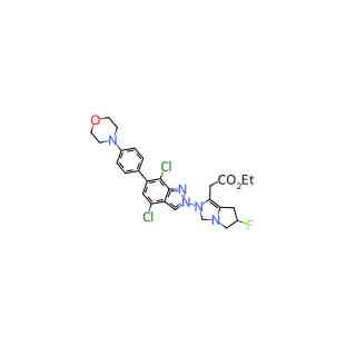 CCOC(=O)CC1=C2C[C@@H](F)CN2CN1n1cc2c(Cl)cc(-c3ccc(N4CCOCC4)cc3)c(Cl)c2n1